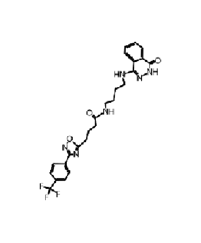 O=C(CCCc1nc(-c2ccc(C(F)(F)F)cc2)no1)NCCCCNc1n[nH]c(=O)c2ccccc12